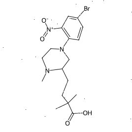 CN1CCN(c2ccc(Br)cc2[N+](=O)[O-])CC1CCC(C)(C)C(=O)O